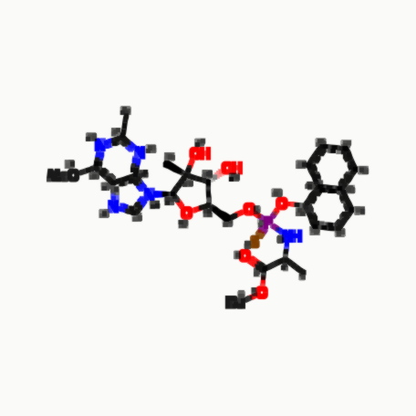 CCC(C)OC(=O)C(C)NP(=S)(OC[C@H]1O[C@@H](n2cnc3c(OC)nc(C)nc32)[C@](C)(O)[C@@H]1O)Oc1cccc2ccccc12